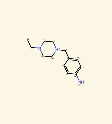 CCN1CCN(Cc2ccc([NH])cc2)CC1